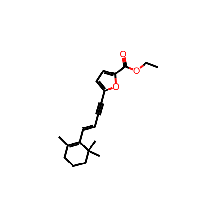 CCOC(=O)c1ccc(C#CC=CC2=C(C)CCCC2(C)C)o1